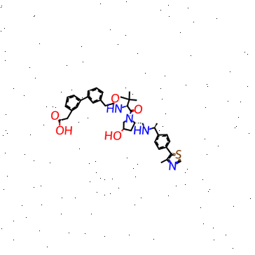 Cc1ncsc1-c1ccc([C@H](C)NC[C@@H]2C[C@@H](O)CN2C(=O)[C@@H](NC(=O)Cc2cccc(-c3cccc(CC(=O)O)c3)c2)C(C)(C)C)cc1